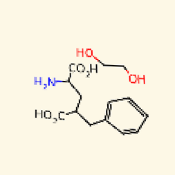 NC(CC(Cc1ccccc1)C(=O)O)C(=O)O.OCCO